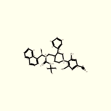 C[C@H](c1cccc2ccccc12)N(CC1CCN(c2c(F)cc(C#N)cc2F)CC1c1ccccc1)C(=O)OC(C)(C)C